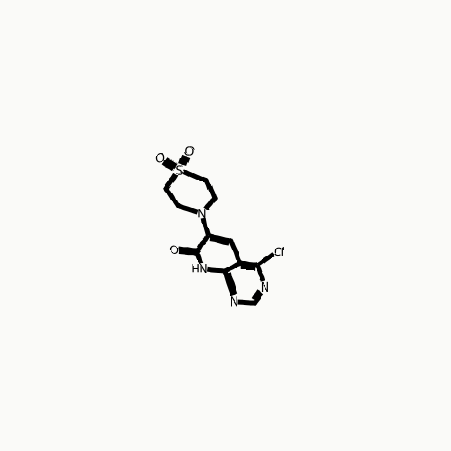 O=c1[nH]c2ncnc(Cl)c2cc1N1CCS(=O)(=O)CC1